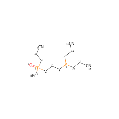 CCCP(=O)(CCC#N)CCCP(CCC#N)CCC#N